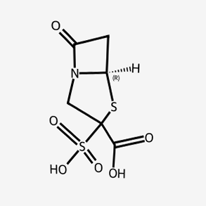 O=C1C[C@H]2SC(C(=O)O)(S(=O)(=O)O)CN12